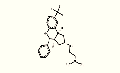 CN(C)CCN[C@@H]1C[C@@H]2[C@H](C1)c1cc(C(F)(F)F)ccc1N[C@H]2c1ccccc1